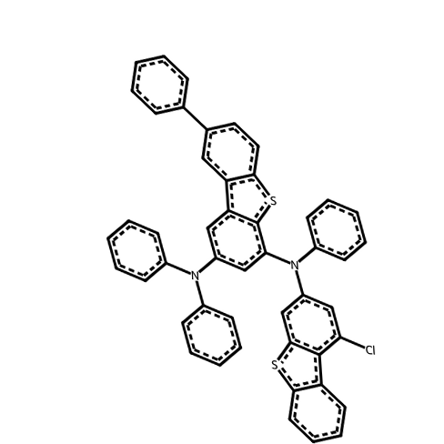 Clc1cc(N(c2ccccc2)c2cc(N(c3ccccc3)c3ccccc3)cc3c2sc2ccc(-c4ccccc4)cc23)cc2sc3ccccc3c12